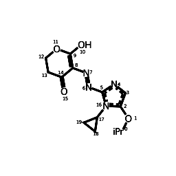 CC(C)Oc1cnc(N=NC2=C(O)OCCC2=O)n1C1CC1